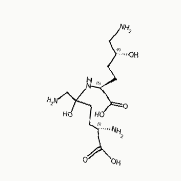 NC[C@H](O)CC[C@H](NC(O)(CN)CC[C@H](N)C(=O)O)C(=O)O